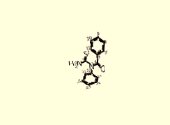 NC(=S)N(C(=O)c1ccccc1)c1ccccc1